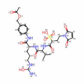 CC(=O)OCc1ccc(NC(=O)[C@H](CCCNC(N)O)NC(=O)[C@@H](NC(=O)[C@H](CCN2C(=O)C=CC2=O)S(=O)(=O)O)C(C)C)cc1